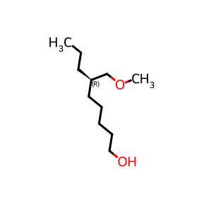 CCC[C@H](CCCCCO)COC